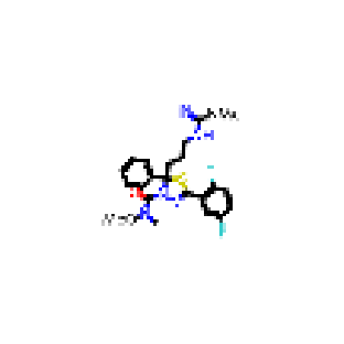 CNC(=N)NCCCC1(c2ccccc2)SC(c2cc(F)ccc2F)=NN1C(=O)N(C)OC